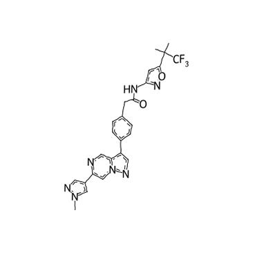 Cn1cc(-c2cn3ncc(-c4ccc(CC(=O)Nc5cc(C(C)(C)C(F)(F)F)on5)cc4)c3cn2)cn1